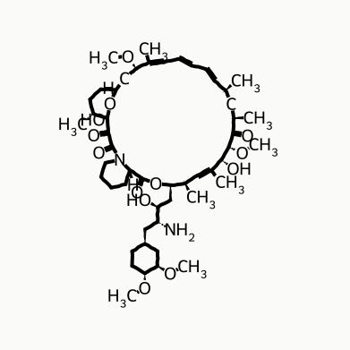 CO[C@H]1C[C@@H]2CC[C@@H](C)[C@@](O)(O2)C(=O)C(=O)N2CCCC[C@H]2C(=O)O[C@H](C[C@H](O)[C@H](N)C[C@@H]2CC[C@@H](OC)[C@H](OC)C2)[C@H](C)/C=C(\C)[C@@H](O)[C@@H](OC)C(=O)[C@H](C)C[C@H](C)/C=C/C=C/C=C/1C